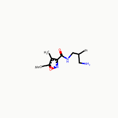 COc1onc(C(=O)NCC(CN)C(C)C)c1C